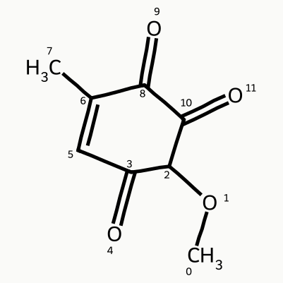 COC1C(=O)C=C(C)C(=O)C1=O